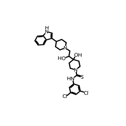 OC(CN1CCC(c2c[nH]c3ccccc23)CC1)C1(O)CCN(C(=S)Nc2cc(Cl)cc(Cl)c2)CC1